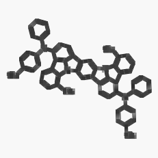 CC(C)(C)c1ccc(N(c2ccccc2)c2ccc3c4cc5c(cc4n4c6c(C(C)(C)C)cccc6c2c34)c2ccc(N(c3ccccc3)c3ccc(C(C)(C)C)cc3)c3c4cccc(C(C)(C)C)c4n5c23)cc1